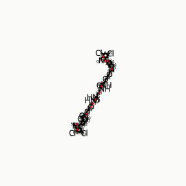 CN1Cc2c(Cl)cc(Cl)cc2C(c2ccc3c(c2)SN(CCOCCOCCNC(=O)NCCCCNC(=O)NCCOCCOCCN2CCc4ccc(C5CN(C)Cc6c(Cl)cc(Cl)cc65)cc4S2(=O)=O)CC3)C1